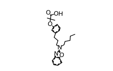 CCCCCN(CCCc1cccc(OC(C)(C)C(=O)O)c1)c1nc2ccccc2o1